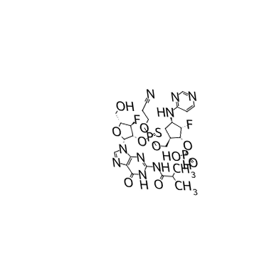 CC(C)C(=O)Nc1nc2c(ncn2[C@@H]2O[C@H](CO)[C@@H](F)[C@@H]2OP(=S)(OCCC#N)OC[C@H]2C[C@@H](Nc3ccncn3)[C@H](F)[C@@H]2O[PH](=O)O)c(=O)[nH]1